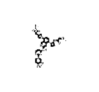 C=CC(=O)N[C@H]1CC[C@@H]1c1ccc(N2CC(CS(C)(=O)=O)C2)c2cnc(Nc3ccnc(N4CC[C@@H](OC)[C@@H](F)C4)n3)cc12